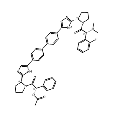 CC(=O)O[C@H](C(=O)N1CCC[C@H]1c1ncc(-c2ccc(-c3ccc(-c4cnc([C@@H]5CCCN5C(=O)[C@@H](c5ccccc5F)N(C)C)[nH]4)cc3)cc2)[nH]1)c1ccccc1